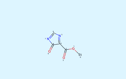 CCOC(=O)C1=NC=NC1=O